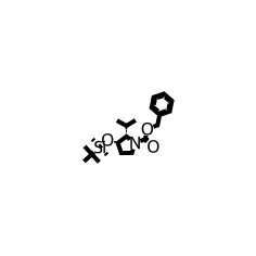 CC(C)[C@H]1[C@@H](O[Si](C)(C)C(C)(C)C)CCN1C(=O)OCc1ccccc1